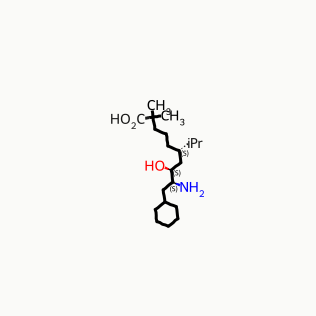 CC(C)[C@@H](CCCC(C)(C)C(=O)O)C[C@H](O)[C@@H](N)CC1CCCCC1